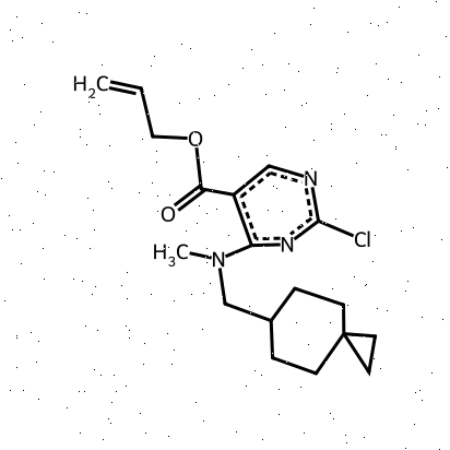 C=CCOC(=O)c1cnc(Cl)nc1N(C)CC1CCC2(CC1)CC2